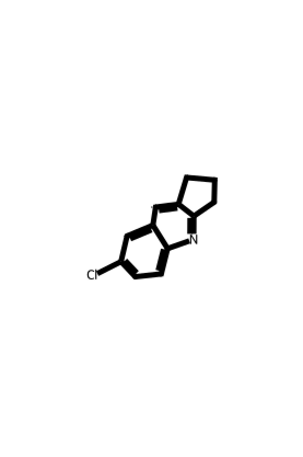 Clc1ccc2nc3c([c]c2c1)CCC3